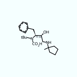 CC1(NC[C@H](O)[C@H](Cc2ccccc2)N(C(=O)O)C(C)(C)C)CCCC1